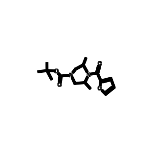 CC1CN(C(=O)OC(C)(C)C)CC(C)N1C(=O)c1ccco1